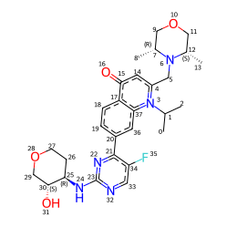 CC(C)n1c(CN2[C@H](C)COC[C@@H]2C)cc(=O)c2ccc(-c3nc(N[C@@H]4CCOC[C@H]4O)ncc3F)cc21